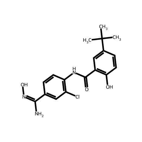 CC(C)(C)c1ccc(O)c(C(=O)Nc2ccc(/C(N)=N\O)cc2Cl)c1